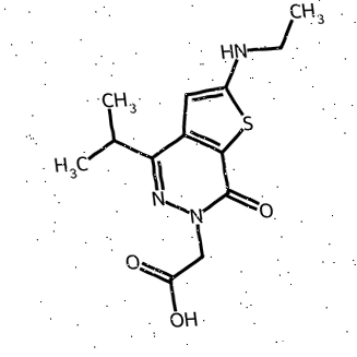 CCNc1cc2c(C(C)C)nn(CC(=O)O)c(=O)c2s1